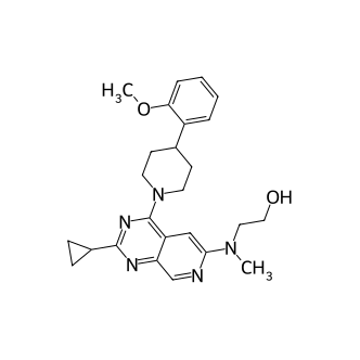 COc1ccccc1C1CCN(c2nc(C3CC3)nc3cnc(N(C)CCO)cc23)CC1